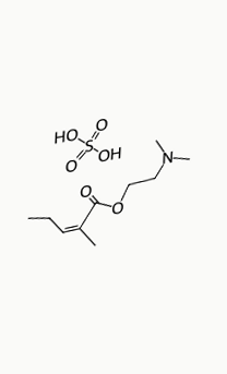 CCC=C(C)C(=O)OCCN(C)C.O=S(=O)(O)O